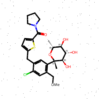 COCc1cc(Cl)c(Cc2ccc(C(=O)N3CCCC3)s2)cc1[C@]1(C)O[C@H](C)[C@@H](O)[C@H](O)[C@H]1O